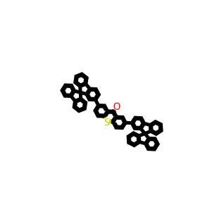 O=c1c2cc(-c3ccc4c(c3)C3(c5ccccc5-c5ccccc53)c3ccccc3-4)ccc2sc2ccc(-c3ccc4c(c3)C3(c5ccccc5-c5ccccc53)c3ccccc3-4)cc12